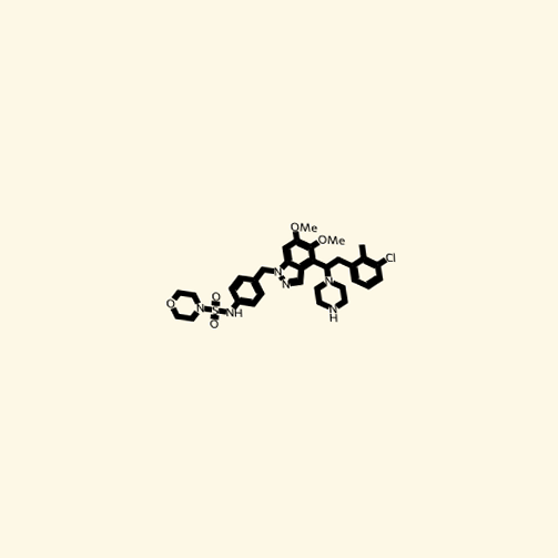 COc1cc2c(cnn2Cc2ccc(NS(=O)(=O)N3CCOCC3)cc2)c(C(Cc2cccc(Cl)c2C)N2CCNCC2)c1OC